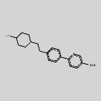 CCCCCCCCc1ccc(-c2ccc(CCC3CCC(CCC)CC3)cc2)nc1